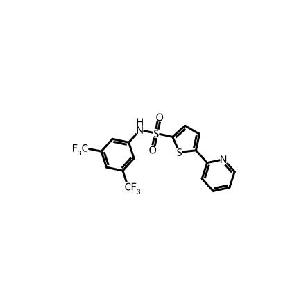 O=S(=O)(Nc1cc(C(F)(F)F)cc(C(F)(F)F)c1)c1ccc(-c2ccccn2)s1